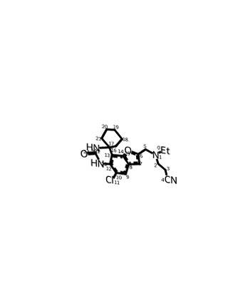 CCN(CCC#N)Cc1cc2cc(Cl)c3c(c2o1)C1(CCCCC1)NC(=O)N3